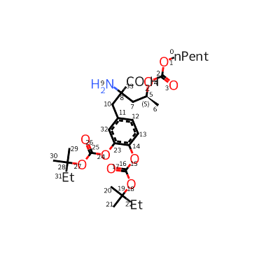 CCCCCOC(=O)O[C@@H](C)CC(N)(Cc1ccc(OC(=O)OC(C)(C)CC)c(OC(=O)OC(C)(C)CC)c1)C(=O)O